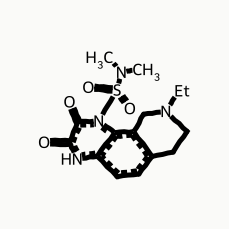 CCN1CCc2ccc3[nH]c(=O)c(=O)n(S(=O)(=O)N(C)C)c3c2C1